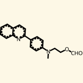 CN(CCOC=O)c1ccc(-c2ccc3ccccc3n2)cc1